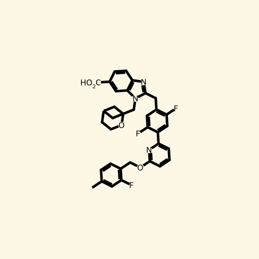 Cc1ccc(COc2cccc(-c3cc(F)c(Cc4nc5ccc(C(=O)O)cc5n4CC45CC(CCO4)C5)cc3F)n2)c(F)c1